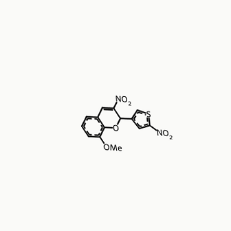 COc1cccc2c1OC(c1csc([N+](=O)[O-])c1)C([N+](=O)[O-])=C2